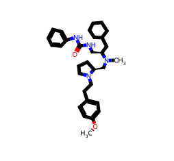 COc1ccc(CCN2CCC[C@H]2CN(C)[C@@H](CNC(=O)Nc2ccccc2)CC2CCCCC2)cc1